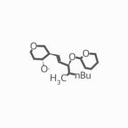 CCCCC(C)[C@@H](C=C[C@@H]1COCC[C@H]1[O])OC1CCCCO1